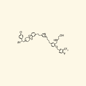 CC(C)[C@H](CN1CCC2(CC1)Oc1ccc(CCc3cnn(CCCCc4ccc(OCc5ccc(F)c(C(F)(F)F)c5)c(CNCCO)c4)c3)cc1O2)c1ccc(Cl)cc1